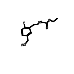 CCOC(=O)NCCc1cc(CO)ccc1F